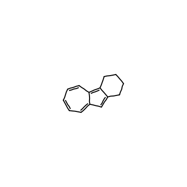 c1ccc2cc3c(c-2cc1)CCCC3